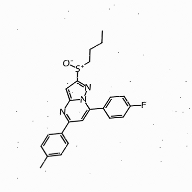 CCCC[S+]([O-])c1cc2nc(-c3ccc(C)cc3)cc(-c3ccc(F)cc3)n2n1